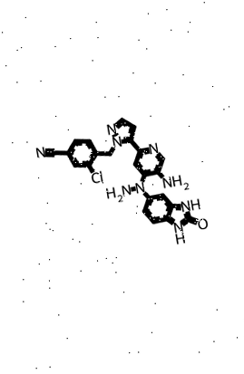 N#Cc1ccc(Cn2nccc2-c2cc(N(N)c3ccc4[nH]c(=O)[nH]c4c3)c(N)cn2)c(Cl)c1